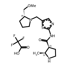 COC[C@H]1CCCN1Cc1cnc(NC(=O)[C@H]2CCN[C@H]2C)s1.O=C(O)C(F)(F)F